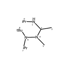 CC(C)NC(C)N(C)N(C(C)C)C(C)(C)C